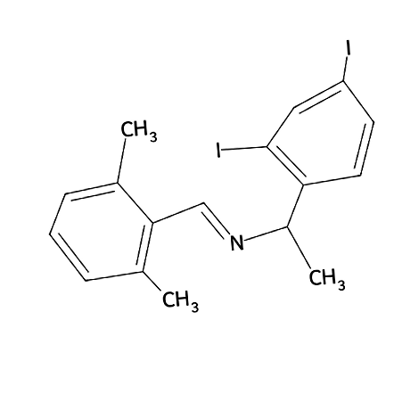 Cc1cccc(C)c1C=NC(C)c1ccc(I)cc1I